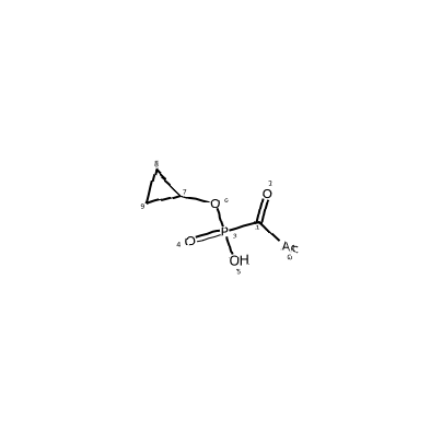 CC(=O)C(=O)P(=O)(O)OC1CC1